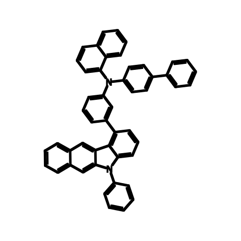 c1ccc(-c2ccc(N(c3cccc(-c4cccc5c4c4cc6ccccc6cc4n5-c4ccccc4)c3)c3cccc4ccccc34)cc2)cc1